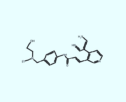 CCN(CCO)Cc1ccc(NC(=O)/C=C/c2cnccc2/C(C=N)=C/N)cc1